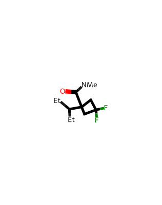 CCC(CC)C1(C(=O)NC)CC(F)(F)C1